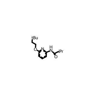 CC(C)C(=O)Nc1cccc(OCCC(C)(C)C)n1